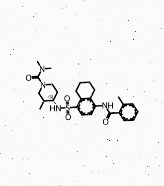 Cc1ccccc1C(=O)Nc1ccc(S(=O)(=O)N[C@H]2CCN(C(=O)N(C)C)CC2C)c2c1CCCC2